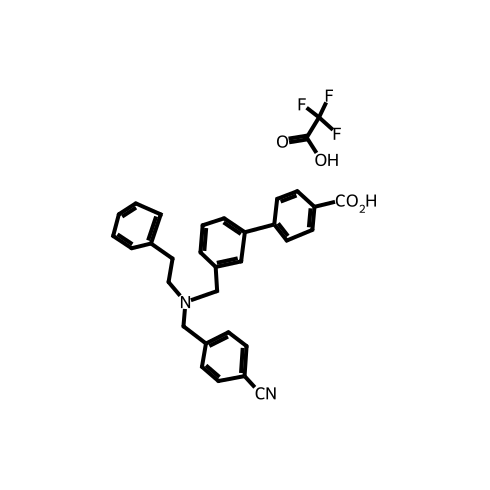 N#Cc1ccc(CN(CCc2ccccc2)Cc2cccc(-c3ccc(C(=O)O)cc3)c2)cc1.O=C(O)C(F)(F)F